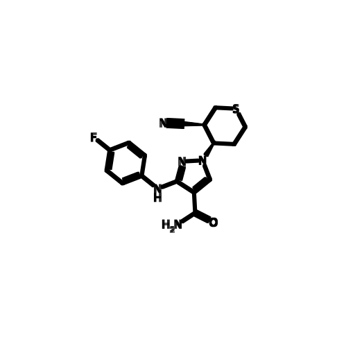 N#C[C@H]1CSCC[C@H]1n1cc(C(N)=O)c(Nc2ccc(F)cc2)n1